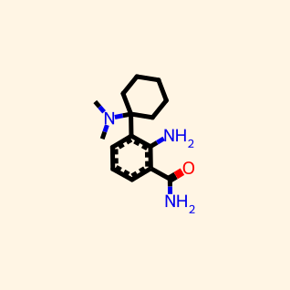 CN(C)C1(c2cccc(C(N)=O)c2N)CCCCC1